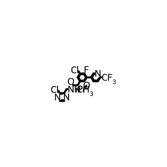 CC(C)Oc1c(C(C)C(=O)NCc2nccnc2Cl)cc(Cl)c(F)c1-c1ccc(C(F)(F)F)nc1